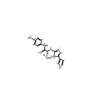 CC(Sc1nnc(-c2ccoc2)n1C=O)C(=O)Nc1ccc(C(C)C)cc1